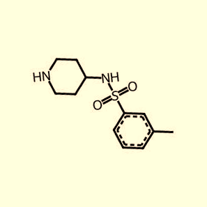 Cc1cccc(S(=O)(=O)NC2CCNCC2)c1